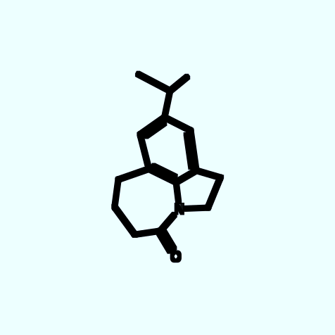 CC(C)c1cc2c3c(c1)CCN3C(=O)CCC2